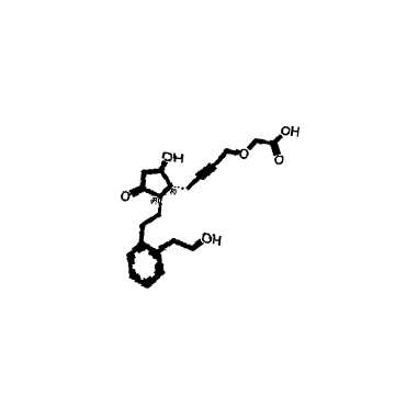 O=C(O)COCC#CC[C@H]1C(O)CC(=O)[C@@H]1CCc1ccccc1CCO